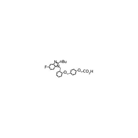 CCCCc1nc2cc(F)ccc2n1Cc1ccccc1OCc1ccc(OCC(=O)O)cc1